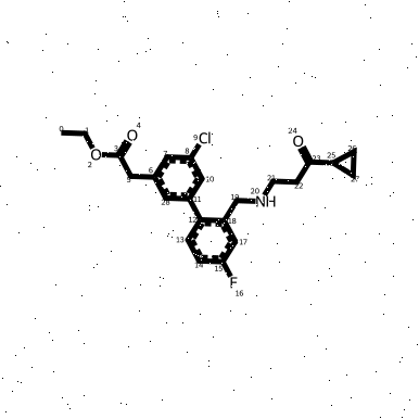 CCOC(=O)Cc1cc(Cl)cc(-c2ccc(F)cc2CNCCC(=O)C2CC2)c1